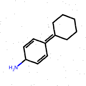 NC1C=CC(=C2CCCCC2)C=C1